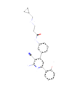 N#Cc1c(-c2cccc(NC(=O)CCNCC3CC3)c2)cc(-c2ccccc2O)nc1N